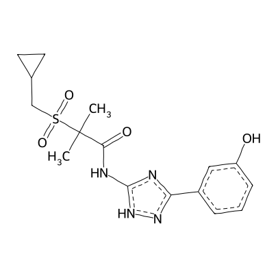 CC(C)(C(=O)Nc1nc(-c2cccc(O)c2)n[nH]1)S(=O)(=O)CC1CC1